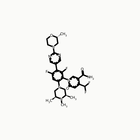 C[C@@H]1CN(c2ncc(-c3c(F)cc(N4C[C@@H](C)N(C)[C@@H](C)C4)c(-n4cc(C(N)=O)c(C(F)F)cc4=O)c3F)cn2)CCO1